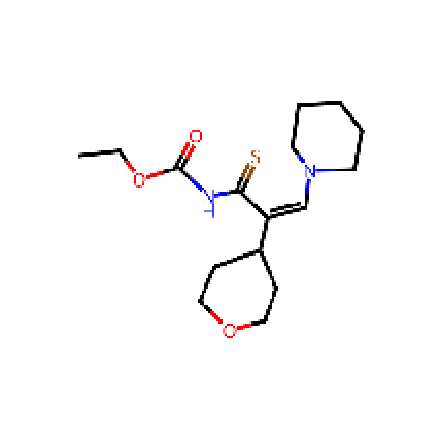 CCOC(=O)NC(=S)C(=CN1CCCCC1)C1CCOCC1